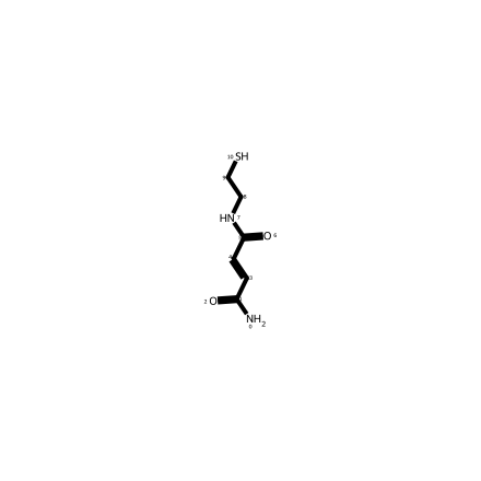 NC(=O)C=CC(=O)NCCS